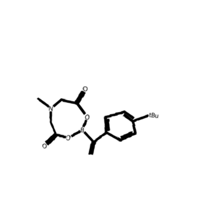 C=C(B1OC(=O)CN(C)CC(=O)O1)c1ccc(C(C)(C)C)cc1